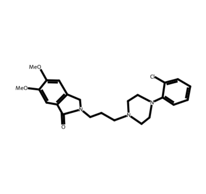 COc1cc2c(cc1OC)C(=O)N(CCCN1CCN(c3ccccc3Cl)CC1)C2